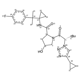 CC(C)(C)[C@@H](C(=O)N1CC(O)CC1C(=O)NC1(C(C)(C)c2ccc(F)cc2)CC1)n1cc(C2CC2)nn1